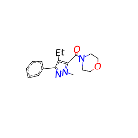 CCc1c(-c2ccccc2)nn(C)c1C(=O)N1CCOCC1